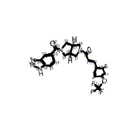 O=C(/C=C/c1ccc(OC(F)(F)F)cc1F)N1C[C@@H]2CN(C(=O)c3ccc4[nH]nnc4c3)C[C@H]2C1